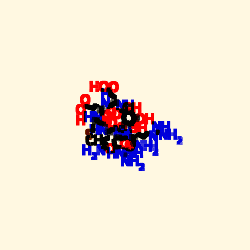 CSCC[C@H](NC(=O)[C@H](CCC(=O)O)NC(=O)[C@H](CCC(=O)O)NC(=O)[C@]1(O)C[C@@H](O)[C@@H](O)[C@H](O)C1)C(=O)N[C@@H](CCC(N)=O)C(=O)N[C@@H](CCCNC(=N)N)C(=O)N[C@@H](CCCNC(=N)N)C(N)=O